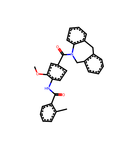 COc1cc(C(=O)N2Cc3ccccc3Cc3ccccc32)ccc1NC(=O)c1ccccc1C